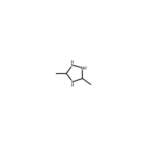 CC1NNC(C)N1